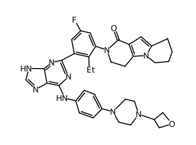 CCc1c(-c2nc(Nc3ccc(N4CCN(C5COC5)CC4)cc3)c3nc[nH]c3n2)cc(F)cc1N1CCc2c(cc3n2CCCC3)C1=O